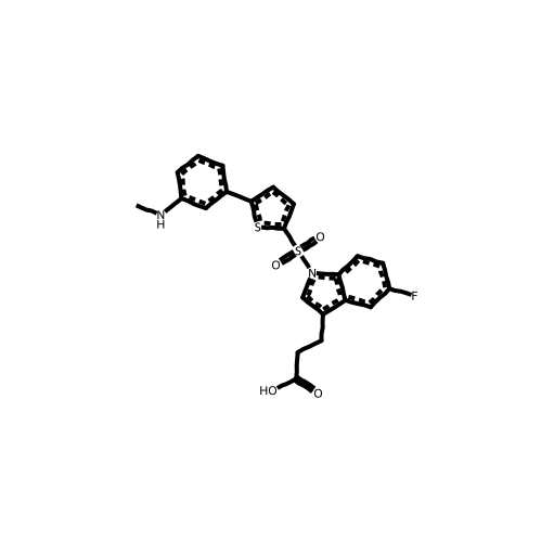 CNc1cccc(-c2ccc(S(=O)(=O)n3cc(CCC(=O)O)c4cc(F)ccc43)s2)c1